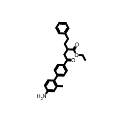 CCOC(=O)C(CCc1ccccc1)CC(=O)c1ccc(-c2ccc(N)cc2C)cc1